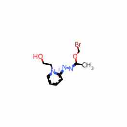 CC(=N/N=c1\ccccn1CCO)OCBr